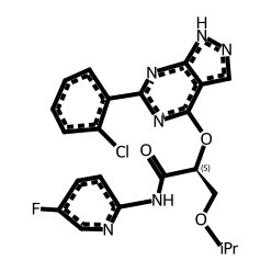 CC(C)OC[C@H](Oc1nc(-c2ccccc2Cl)nc2[nH]ncc12)C(=O)Nc1ccc(F)cn1